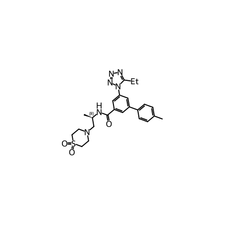 CCc1nnnn1-c1cc(C(=O)N[C@H](C)CN2CCS(=O)(=O)CC2)cc(-c2ccc(C)cc2)c1